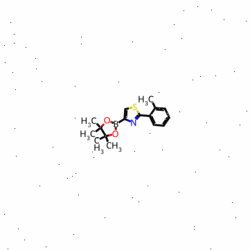 Cc1ccccc1-c1nc(B2OC(C)(C)C(C)(C)O2)cs1